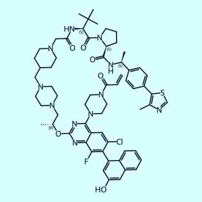 C=CC(=O)N1CCN(c2nc(O[C@H](C)CN3CCN(CC4CCN(CC(=O)N[C@H](C(=O)N5CCC[C@H]5C(=O)N[C@@H](C)c5ccc(-c6scnc6C)cc5)C(C)(C)C)CC4)CC3)nc3c(F)c(-c4cc(O)cc5ccccc45)c(Cl)cc23)CC1